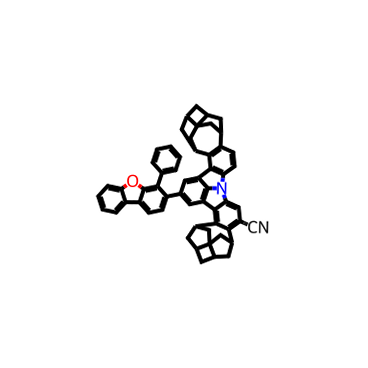 N#Cc1cc2c(c3c1C1CC4CC5CC3CC45C1)c1cc(-c3ccc4c(oc5ccccc54)c3-c3ccccc3)cc3c4c5c(ccc4n2c31)C1CC2CC3CC5CC23C1